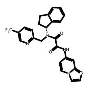 O=C(Nc1ccn2ccnc2c1)C(=O)N(Cc1ccc(C(F)(F)F)cn1)[C@@H]1CCc2ccccc21